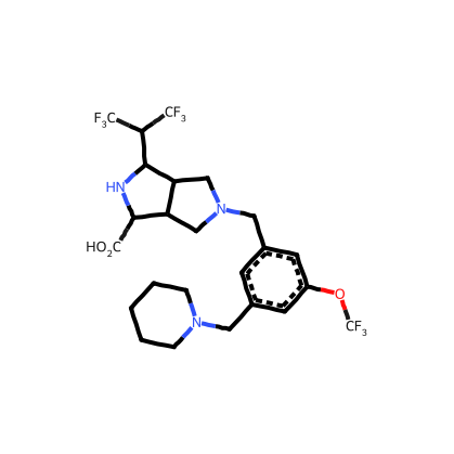 O=C(O)C1NC(C(C(F)(F)F)C(F)(F)F)C2CN(Cc3cc(CN4CCCCC4)cc(OC(F)(F)F)c3)CC12